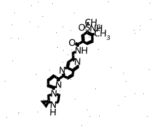 Cc1ccc(C(=O)NCc2cc3nc(-c4cccc(N5CCNC6(CC6)C5)n4)ccc3cn2)cc1S(C)(=N)=O